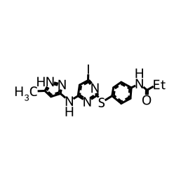 CCC(=O)Nc1ccc(Sc2nc(I)cc(Nc3cc(C)[nH]n3)n2)cc1